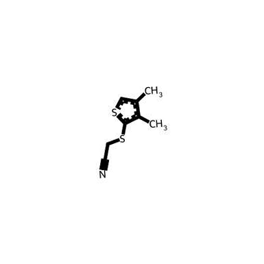 Cc1csc(SCC#N)c1C